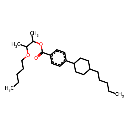 CCCCCOC(C)C(C)OC(=O)c1ccc(C2CCC(CCCCC)CC2)cc1